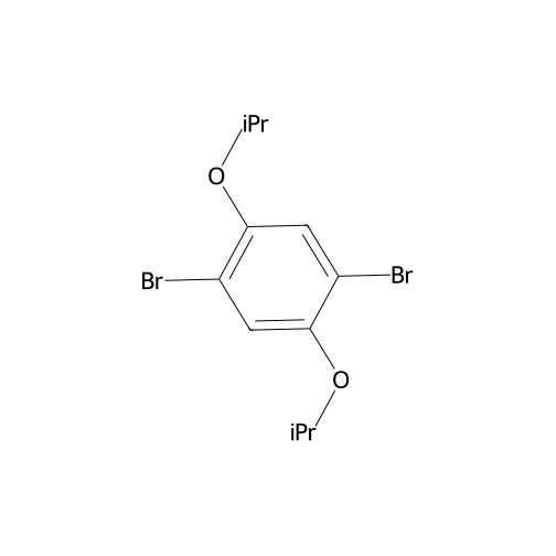 CC(C)Oc1cc(Br)c(OC(C)C)cc1Br